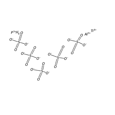 O=S(=O)([O-])[O-].O=S(=O)([O-])[O-].O=S(=O)([O-])[O-].O=S(=O)([O-])[O-].O=S(=O)([O-])[O-].[Al+3].[PH6+3].[Ti+4]